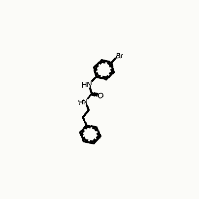 O=C(NCCc1ccccc1)Nc1ccc(Br)cc1